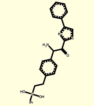 CC(C)[Si](O)(O)CCc1ccc(C(N)C(=O)c2nc(-c3ccccc3)cs2)cc1